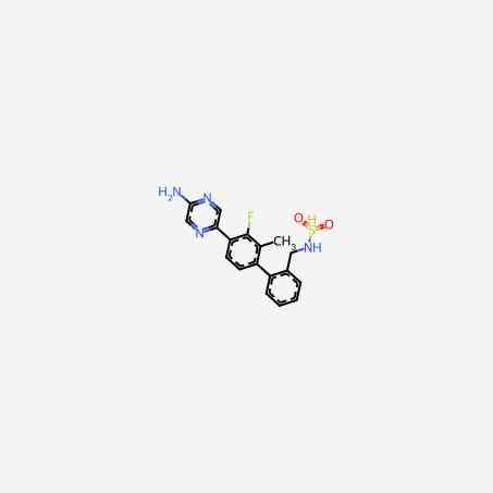 Cc1c(-c2ccccc2CN[SH](=O)=O)ccc(-c2cnc(N)cn2)c1F